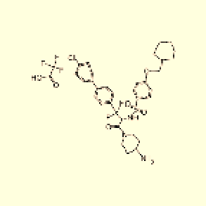 NC1CCN(C(=O)[C@@H](NS(=O)(=O)c2ccc(OCC3CCCCC3)cc2)C(F)(F)c2ccc(-c3ccc(Cl)cc3)cc2)CC1.O=C(O)C(F)(F)F